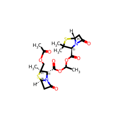 CC(=O)OC[C@]1(C)S[C@@H]2CC(=O)N2[C@H]1C(=O)OC(C)OC(=O)[C@@H]1N2C(=O)C[C@H]2SC1(C)C